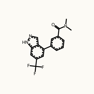 CN(C)C(=O)c1cccc(-c2cc(C(F)(F)F)cc3[nH]ncc23)c1